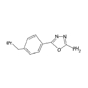 CC(C)Cc1ccc(-c2nnc(P)o2)cc1